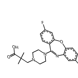 CC(C)(CN1CCN(C2=Nc3cc(Cl)ccc3Oc3cc(F)ccc32)CC1)C(=O)O